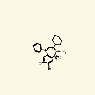 CN1[C@H](C2CCCCC2)CN(c2ccccc2)c2cc(Cl)c(Br)cc2S1(=O)=O